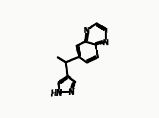 CC(c1cn[nH]c1)c1ccc2nccnc2c1